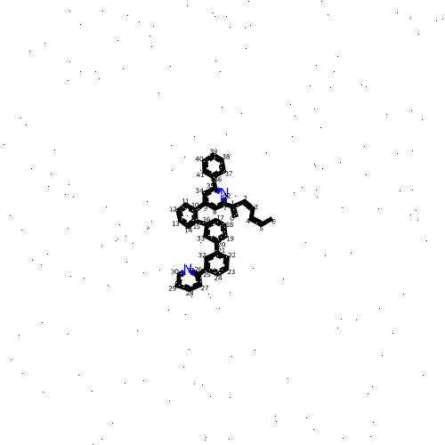 C=C(/C=C\C=C/C)c1cc(-c2ccccc2-c2cccc(-c3cccc(-c4ccccn4)c3)c2)cc(-c2ccccc2)n1